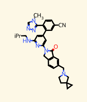 CC(C)CNc1cc(-c2cc(C#N)ccc2-c2nncn2C)cc(N2Cc3ccc(CN4CCC5(CC5)C4)cc3C2=O)n1